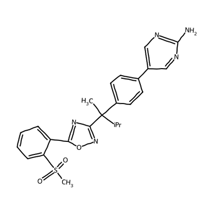 CC(C)C(C)(c1ccc(-c2cnc(N)nc2)cc1)c1noc(-c2ccccc2S(C)(=O)=O)n1